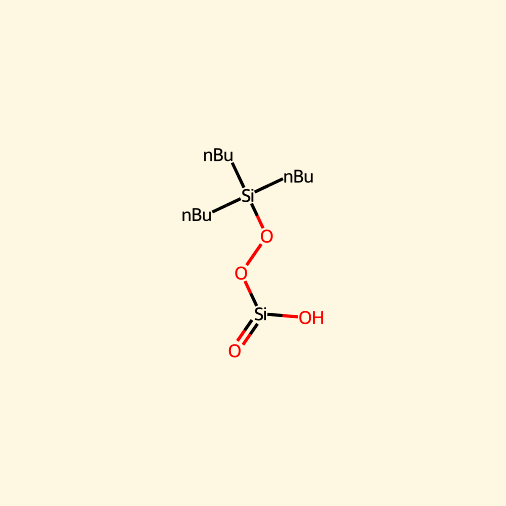 CCCC[Si](CCCC)(CCCC)OO[Si](=O)O